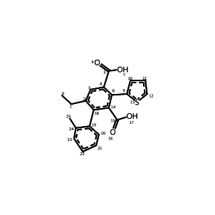 CCc1cc(C(=O)O)c(-c2cccs2)c(C(=O)O)c1-c1ccccc1C